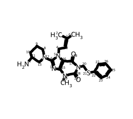 CC(C)=CCn1c(N2CCCC(N)C2)nc2c1c(=O)n(CSc1ccccc1)c(=O)n2C